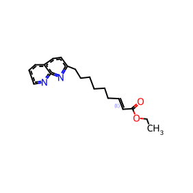 CCOC(=O)/C=C/CCCCCCc1ccc2cccnc2n1